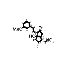 COc1cccc(CCN2C(=O)CC3[C@H](C[N+](=O)[O-])[C@@H](C)CC32O)c1